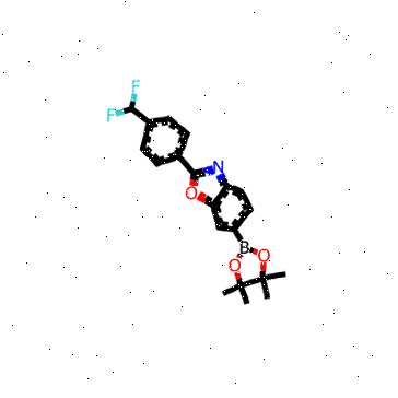 CC1(C)OB(c2ccc3nc(-c4ccc(C(F)F)cc4)oc3c2)OC1(C)C